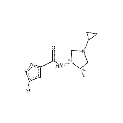 CCc1cc(C(=O)N[C@@H]2CN(C3CC3)C[C@@H]2C)ns1